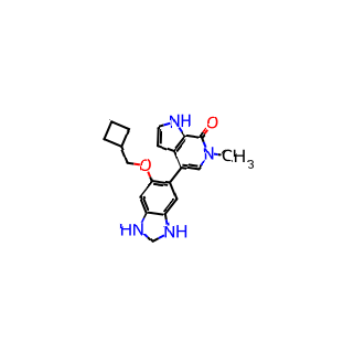 Cn1cc(-c2cc3c(cc2OCC2CCC2)NCN3)c2cc[nH]c2c1=O